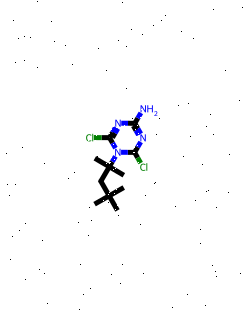 CC(C)(C)CC(C)(C)N1C(Cl)=NC(N)=NC1Cl